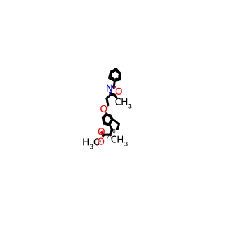 COC(=O)[C@H](C)[C@H]1CCc2cc(OCCc3nc(-c4ccccc4)oc3C)ccc21